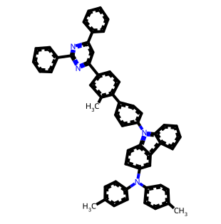 Cc1ccc(N(c2ccc(C)cc2)c2ccc3c(c2)c2ccccc2n3-c2ccc(-c3ccc(-c4cc(-c5ccccc5)nc(-c5ccccc5)n4)cc3C)cc2)cc1